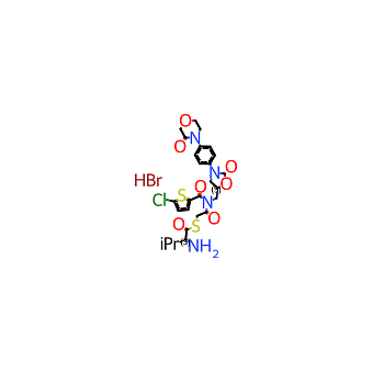 Br.CC(C)[C@H](N)C(=O)SCC(=O)N(C[C@H]1CN(c2ccc(N3CCOCC3=O)cc2)C(=O)O1)C(=O)c1ccc(Cl)s1